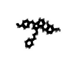 COc1ccc(Cn2nc(OCCN3CCOCC3)c3c(Oc4ccc(N)cc4F)ccnc32)cc1